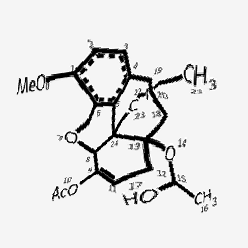 COc1ccc2c3c1OC1C(OC(C)=O)=CCC4(OC(C)O)C(C2)N(C)CCC314